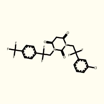 O=C1CC(=O)N(CC(F)(F)c2cccc(Cl)c2)C(=O)N1CC(F)(F)c1ccc(C(F)(F)F)cc1